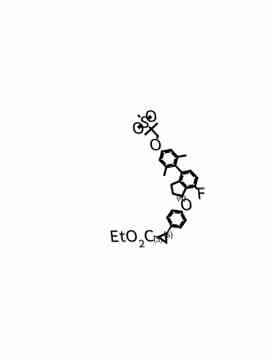 CCOC(=O)[C@H]1C[C@@H]1c1ccc(O[C@@H]2CCc3c(-c4c(C)cc(OCC(C)(C)S(C)(=O)=O)cc4C)ccc(F)c32)cc1